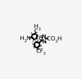 Cc1cccc(N)c1.O=C(O)c1noc(-c2cccc(C(F)(F)F)c2)n1